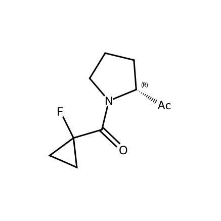 CC(=O)[C@H]1CCCN1C(=O)C1(F)CC1